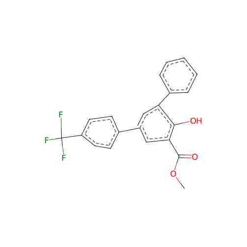 COC(=O)c1cc(-c2ccc(C(F)(F)F)cc2)cc(-c2ccccc2)c1O